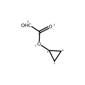 O=CC(=O)OC1CC1